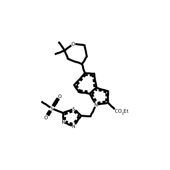 CCOC(=O)c1cc2cc(C3CCOC(C)(C)C3)ccc2n1Cc1nnc(S(C)(=O)=O)s1